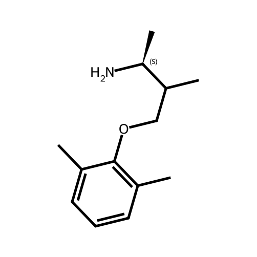 Cc1cccc(C)c1OCC(C)[C@H](C)N